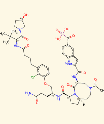 CC(=O)N1CC[C@H]2CC[C@@H](C(=O)N[C@@H](CCC(N)=O)COc3cccc(CCCC(=O)N[C@H](C(=O)N4CC[C@@H](O)C4)C(C)(C)C)c3Cl)N2C(=O)[C@@H](NC(=O)c2cc3cc(C(=O)P(=O)(O)O)ccc3[nH]2)C1